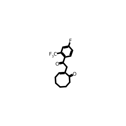 O=C1CCCCCC=C1CC(=O)c1ccc(F)cc1C(F)(F)F